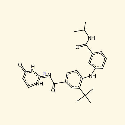 CC(C)NC(=O)c1cccc(Nc2ccc(C(=O)/N=c3\[nH]ccc(=O)[nH]3)cc2C(C)(C)C)c1